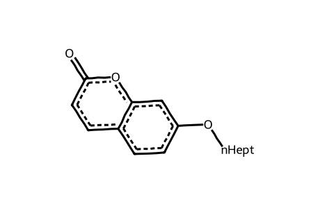 CCCCCCCOc1ccc2ccc(=O)oc2c1